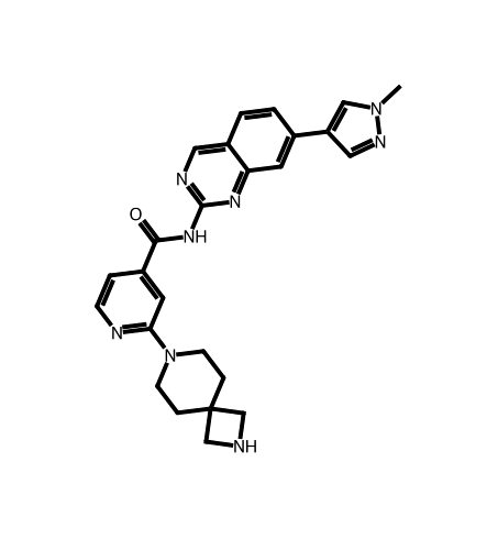 Cn1cc(-c2ccc3cnc(NC(=O)c4ccnc(N5CCC6(CC5)CNC6)c4)nc3c2)cn1